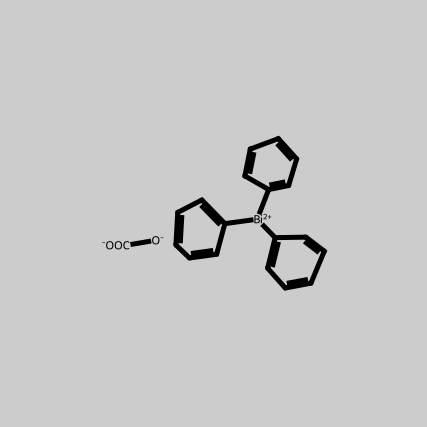 O=C([O-])[O-].c1cc[c]([Bi+2]([c]2ccccc2)[c]2ccccc2)cc1